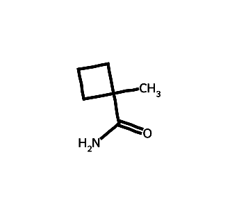 CC1(C(N)=O)CCC1